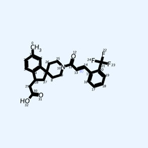 Cc1ccc2c(c1)C1(CCN(C(=O)/C=C/c3ccccc3C(F)(F)F)CC1)CC2CC(=O)O